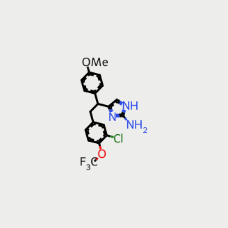 COc1ccc(C(Cc2ccc(OC(F)(F)F)c(Cl)c2)c2c[nH]c(N)n2)cc1